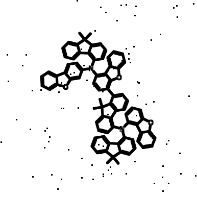 CC1(C)c2ccccc2-c2c(N(c3cccc4c3-c3cccc(-c5ccc(N(c6ccc7c(c6)oc6ccccc67)c6cccc7c6-c6ccccc6C7(C)C)c6c5oc5ccccc56)c3C4(C)C)c3cccc4oc5ccccc5c34)cccc21